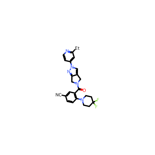 CCc1cc(-n2cc3c(n2)CN(C(=O)c2cc(C#N)ccc2N2CCC(F)(F)CC2)C3)ccn1